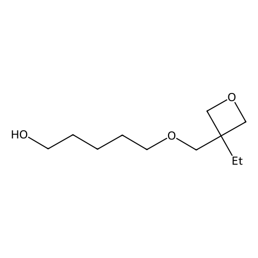 CCC1(COCCCCCO)COC1